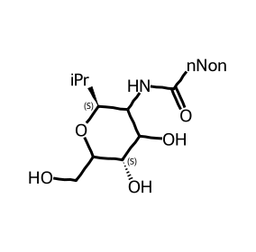 CCCCCCCCCC(=O)NC1C(O)[C@H](O)C(CO)O[C@H]1C(C)C